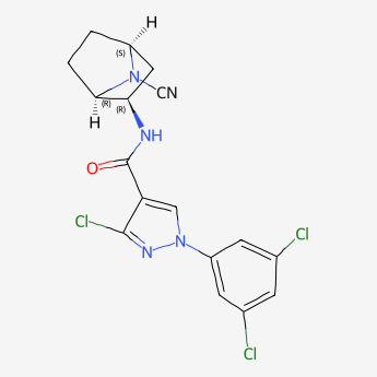 N#CN1[C@H]2CC[C@@H]1[C@H](NC(=O)c1cn(-c3cc(Cl)cc(Cl)c3)nc1Cl)C2